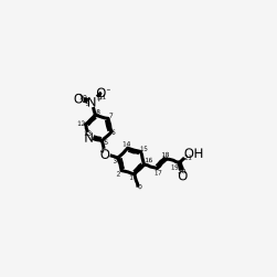 Cc1cc(Oc2ccc([N+](=O)[O-])cn2)ccc1/C=C/C(=O)O